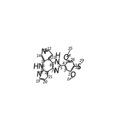 COc1cc(-c2nc3c([nH]2)-c2ccncc2Nc2ncccc2-3)c(OC)cc1SC